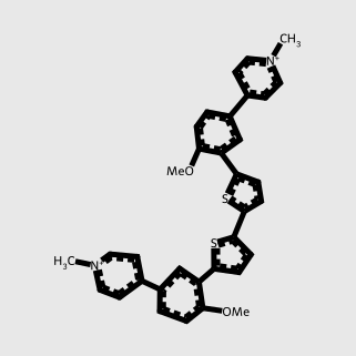 COc1ccc(-c2cc[n+](C)cc2)cc1-c1ccc(-c2ccc(-c3cc(-c4cc[n+](C)cc4)ccc3OC)s2)s1